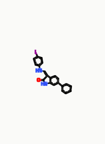 O=C1Nc2cc(-c3ccccc3)ccc2C1=CNc1ccc(I)cc1